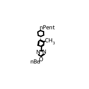 CCCCC[C@H]1CC[C@H](c2ccc(-c3ncc(OCCCC)cn3)cc2C)CC1